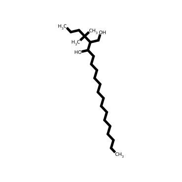 CCCCCCCCCCCCCCCC(O)C(CO)C(C)(C)CCC